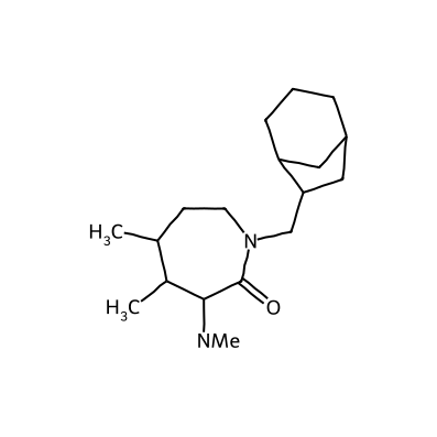 CNC1C(=O)N(CC2CC3CCCC2C3)CCC(C)C1C